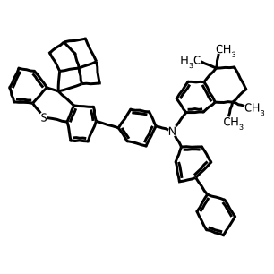 CC1(C)CCC(C)(C)c2cc(N(c3ccc(-c4ccccc4)cc3)c3ccc(-c4ccc5c(c4)C4(c6ccccc6S5)C5CC6CC7CC4C75C6)cc3)ccc21